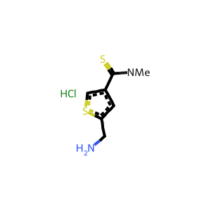 CNC(=S)c1csc(CN)c1.Cl